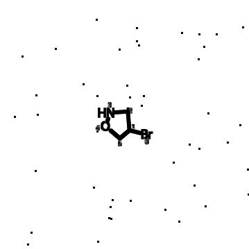 BrC1[CH]NOC1